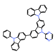 c1ccc(-n2c3ccccc3c3cc(-c4ccc5c(c4)c4cc(-n6c7ccccc7c7ccccc76)ccc4n5-c4cnccn4)ccc32)cc1